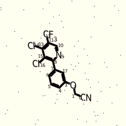 N#CCOc1cccc(-c2ncc(C(F)(F)F)c(Cl)c2Cl)c1